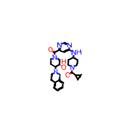 O=C(c1cc(NC2CCN(C(=O)C3CC3)CC2)ncn1)N1CCC(N2CCc3ccccc3C2)[C@@H](O)C1